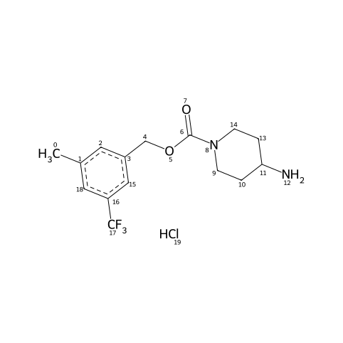 Cc1cc(COC(=O)N2CCC(N)CC2)cc(C(F)(F)F)c1.Cl